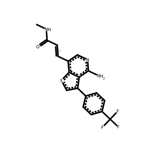 CNC(=O)/C=C/c1cnc(N)c2c(-c3ccc(C(F)(F)F)cc3)csc12